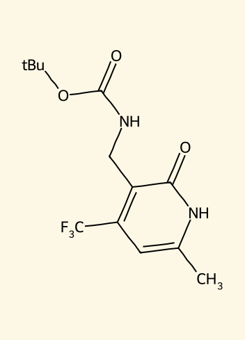 Cc1cc(C(F)(F)F)c(CNC(=O)OC(C)(C)C)c(=O)[nH]1